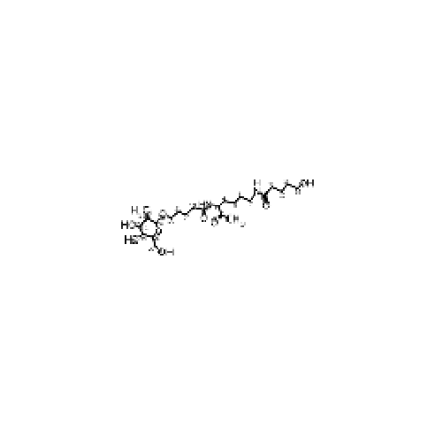 CC(=O)[C@H](CCCCNC(=O)CCCCO)NC(=O)CCCCOC1OC(CO)C(O)C(O)C1C